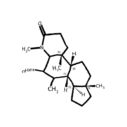 CCCCCCC1C(C)[C@@H]2[C@@H](CC[C@]3(C)CCC[C@@H]23)[C@@]2(C)CCC(=O)N(C)C12